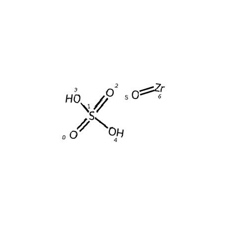 O=S(=O)(O)O.[O]=[Zr]